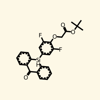 CC(C)(C)OC(=O)COc1c(F)cc([SiH]2c3ccccc3C(=O)c3ccccc32)cc1F